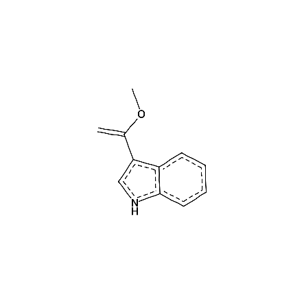 C=C(OC)c1c[nH]c2ccccc12